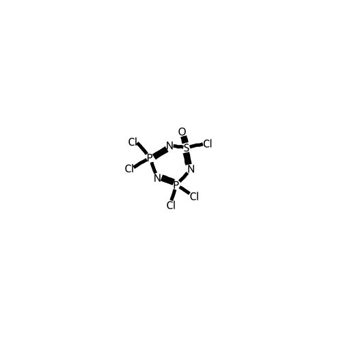 O=S1(Cl)=NP(Cl)(Cl)=NP(Cl)(Cl)=N1